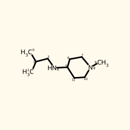 CC(C)CNC1CCN(C)CC1